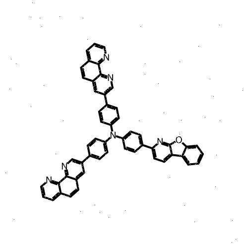 c1cnc2c(c1)ccc1cc(-c3ccc(N(c4ccc(-c5cnc6c(ccc7cccnc76)c5)cc4)c4ccc(-c5ccc6c(n5)oc5ccccc56)cc4)cc3)cnc12